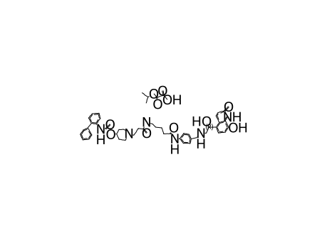 CC(C)OC(=O)C(=O)O.CN(CCCCC(=O)Nc1ccc(CNC[C@H](O)c2ccc(O)c3[nH]c(=O)ccc23)cc1)C(=O)CCN1CCC(OC(=O)Nc2ccccc2-c2ccccc2)CC1